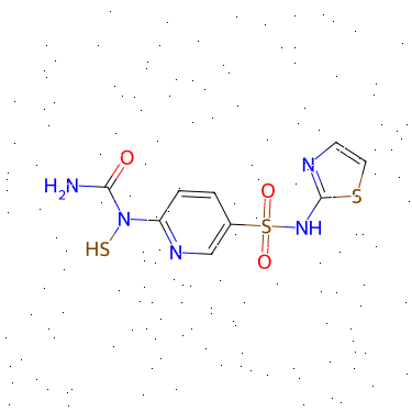 NC(=O)N(S)c1ccc(S(=O)(=O)Nc2nccs2)cn1